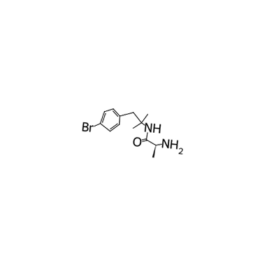 C[C@H](N)C(=O)NC(C)(C)Cc1ccc(Br)cc1